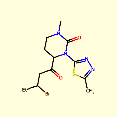 CCC(Br)CC(=O)C1CCN(C)C(=O)N1c1nnc(C(F)(F)F)s1